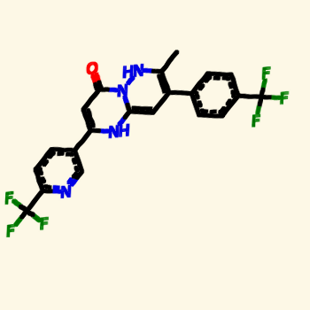 CC1=C(c2ccc(C(F)(F)F)cc2)C=C2NC(c3ccc(C(F)(F)F)nc3)=CC(=O)N2N1